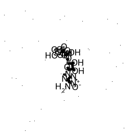 Nc1c2ncn([C@@H]3O[C@H](COP(=O)(O)OP(=O)(O)OP(=O)(O)O)C(O)C3O)c2nc[n+]1[O-]